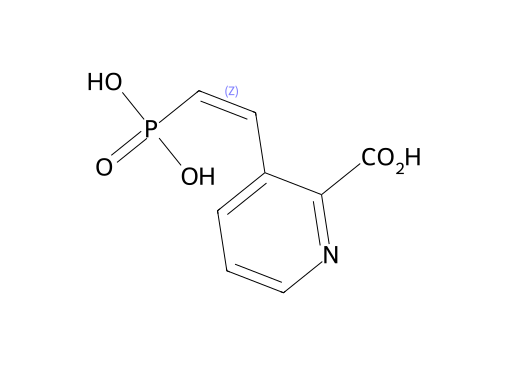 O=C(O)c1ncccc1/C=C\P(=O)(O)O